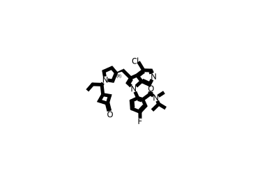 CCC(C1CC(=O)C1)N1CC[C@@H](Cc2cn(-c3ccc(F)cc3C(=O)N(C)C(C)C)c3cncc(Cl)c23)C1